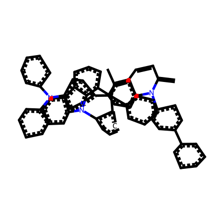 C=C(/C=C\C1=C(C)C2(c3ccccc31)c1ccccc1-n1c3ccccc3c3cccc2c31)N(c1ccc(-c2ccccc2)cc1)c1ccc(-c2ccc(N(c3ccccc3)c3ccccc3)cc2)cc1